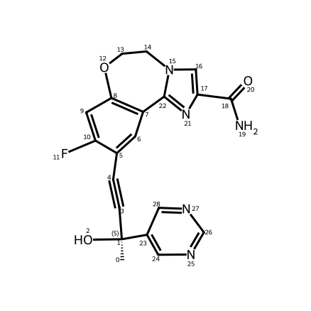 C[C@](O)(C#Cc1cc2c(cc1F)OCCn1cc(C(N)=O)nc1-2)c1cncnc1